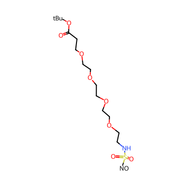 CC(C)(C)OC(=O)CCOCCOCCOCCOCCNS(=O)(=O)N=O